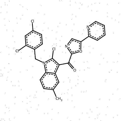 Cc1ccc2c(c1)c(C(=O)c1ncc(-c3ccccn3)o1)c(Cl)n2Cc1ccc(Cl)cc1Cl